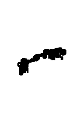 Nc1ncnc2c1c(-c1ccc(Oc3ccccc3)cc1)nn2[C@@H]1CCCN(C(=O)/C=C/CN2CCN(CCCCSc3cccc4c3C(=O)N(C3CCC(=O)NC3=O)C4=O)CC2)C1